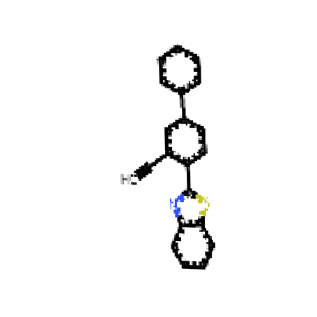 C#Cc1cc(-c2ccccc2)ccc1-c1nc2ccccc2s1